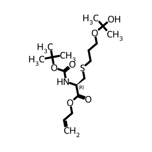 C=CCOC(=O)[C@H](CSCCCOC(C)(C)O)NC(=O)OC(C)(C)C